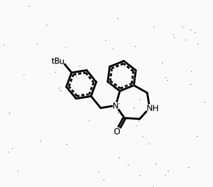 CC(C)(C)c1ccc(CN2C(=O)CNCc3ccccc32)cc1